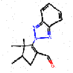 CC1CC(C=O)=C(n2nc3ccccc3n2)C1(C)C